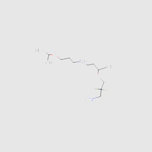 CC(C)OCCCNCCC(C)OCC(F)(F)CN